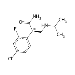 CC(C)NC[C@H](C(N)=O)c1ccc(Cl)cc1F